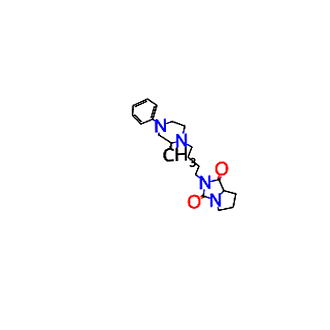 C[C@H]1CN(c2ccccc2)CCN1CCCCN1C(=O)C2CCCN2C1=O